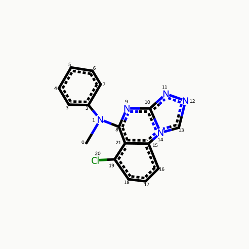 CN(c1ccccc1)c1nc2nncn2c2cccc(Cl)c12